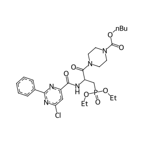 CCCCOC(=O)N1CCN(C(=O)C(CP(=O)(OCC)OCC)NC(=O)c2cc(Cl)nc(-c3ccccc3)n2)CC1